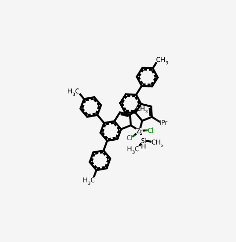 CC1=Cc2c(-c3ccc(C)cc3)cc(-c3ccc(C)cc3)cc2[CH]1[Zr]([Cl])([Cl])([CH]1C(C(C)C)=Cc2c(-c3ccc(C)cc3)cccc21)[SiH](C)C